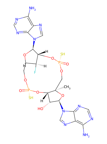 C[C@@]12CO[P@@](=O)(S)O[C@@H]3[C@@H](F)[C@@H](CO[P@@](=O)(S)O[C@H]1[C@@H](O)[C@H](n1cnc4c(N)ncnc41)O2)O[C@H]3n1cnc2c(N)ncnc21